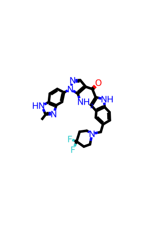 Cc1nc2cc(-n3ncc(C(=O)c4cc5cc(CN6CCC(F)(F)CC6)ccc5[nH]4)c3N)ccc2[nH]1